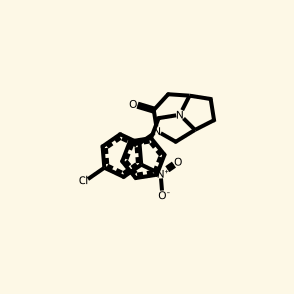 O=C1CC2CCC(CN1c1ccc(Cl)cc1[N+](=O)[O-])N2Cc1ccccc1